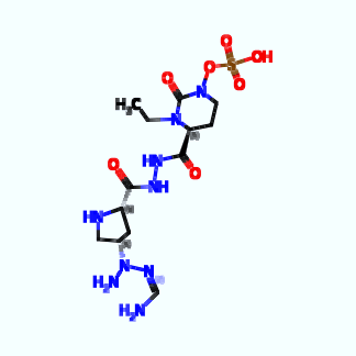 CCN1C(=O)N(OS(=O)(=O)O)CC[C@H]1C(=O)NNC(=O)[C@@H]1C[C@H](N(N)/N=C\N)CN1